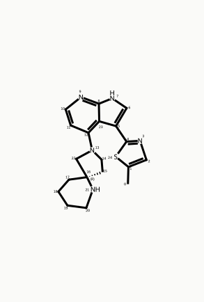 Cc1cnc(-c2c[nH]c3nccc(N4CC[C@]5(CCCCN5)C4)c23)s1